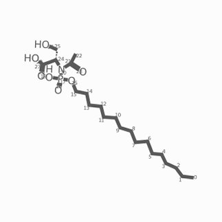 CCCCCCCCCCCCCCCCOP(=O)(O)N(C(C)=O)[C@@H](CO)C(=O)O